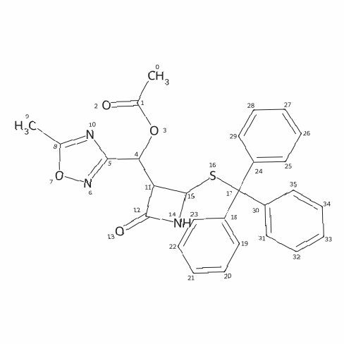 CC(=O)OC(c1noc(C)n1)C1C(=O)NC1SC(c1ccccc1)(c1ccccc1)c1ccccc1